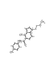 COCCn1cnc2c(Cl)c(C(=O)Nc3ccc(Cl)cc3)cnc21